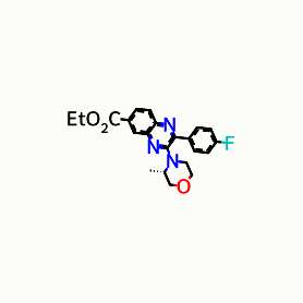 CCOC(=O)c1ccc2nc(-c3ccc(F)cc3)c(N3CCOC[C@@H]3C)nc2c1